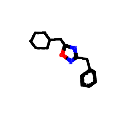 [CH]1CCC(Cc2nc(Cc3ccccc3)no2)CC1